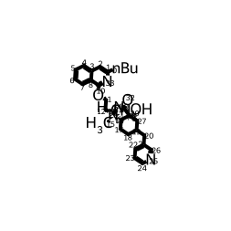 CCCCc1cc2ccccc2c(OCC[N+](C)(C)[C@H]2CCC(Cc3cccnc3)C[C@@]2(O)C(N)=O)n1